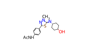 CC(=O)Nc1ccc(-c2nn(C)c(=N[C@H]3CC[C@H](O)CC3)s2)cc1